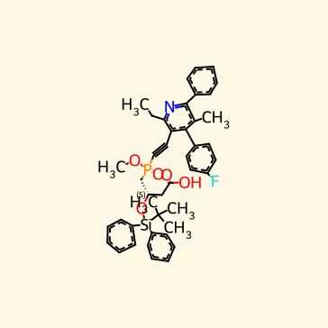 CCc1nc(-c2ccccc2)c(C)c(-c2ccc(F)cc2)c1C#CP(=O)(C[C@H](CC(=O)O)O[Si](c1ccccc1)(c1ccccc1)C(C)(C)C)OC